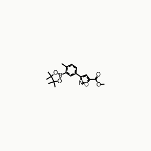 COC(=O)c1cc(-c2ccc(C)c(B3OC(C)(C)C(C)(C)O3)c2)no1